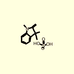 C=C1N(C)c2ccccc2C1(C)C.O=S(=O)(O)O